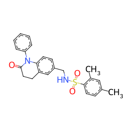 Cc1ccc(S(=O)(=O)NCc2ccc3c(c2)CCC(=O)N3c2ccccc2)c(C)c1